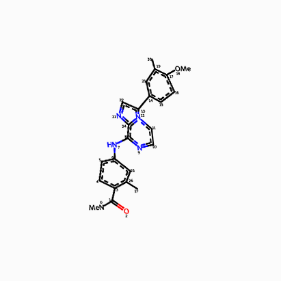 CNC(=O)c1ccc(Nc2nccn3c(-c4ccc(OC)c(C)c4)cnc23)cc1C